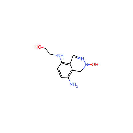 Nc1ccc(NCCO)c2c1CN(O)N=C2